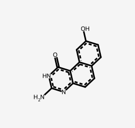 Nc1nc2ccc3ccc(O)cc3c2c(=O)[nH]1